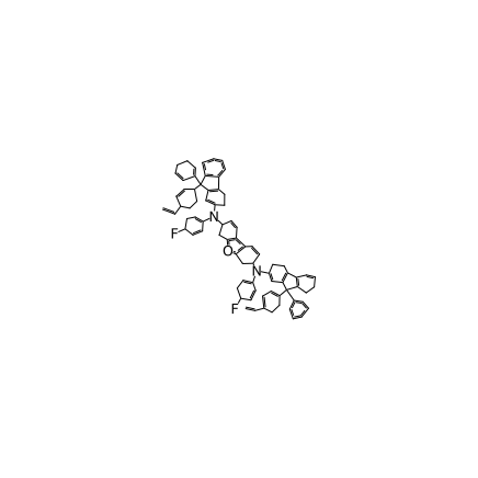 C=CC1=CC=C(C2(c3ccccc3)C3=C(CCC(N(C4=CCC(F)C=C4)C4C=Cc5c(oc6c5C=CC(N(C5=CCC(F)C=C5)C5=CC7=C(CC5)c5ccccc5C7(C5=CCCC=C5)C5C=CC(C=C)CC5)C6)C4)=C3)C3=C2CCC=C3)CC1